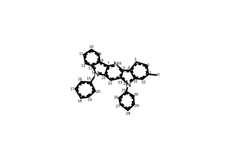 Cc1ccc2c3nc4c5ccccc5n(-c5ccccc5)c4cc3n(-c3ccccc3)c2c1